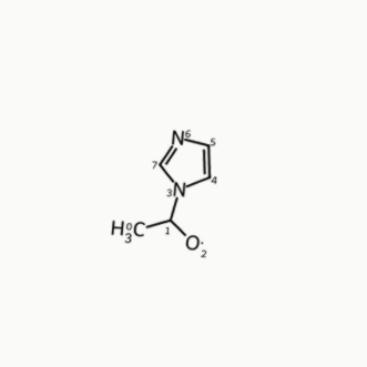 CC([O])n1ccnc1